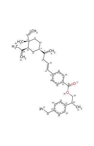 C=C[C@]1(C)CC[C@@H](C(=C)C/C=C/c2ccc(C(=O)OCC(C)c3ccc(CC(C)C)cc3)cc2)C[C@H]1C(=C)C